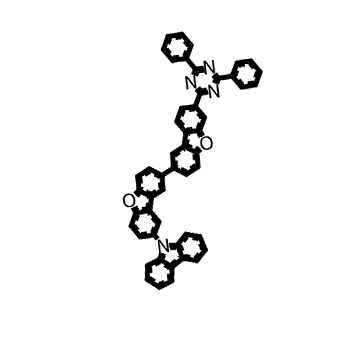 c1ccc(-c2nc(-c3ccccc3)nc(-c3ccc4c(c3)oc3ccc(-c5ccc6oc7ccc(-n8c9ccccc9c9ccccc98)cc7c6c5)cc34)n2)cc1